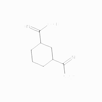 N=C(C(=O)O)C1CCCC(C(=N)C(=O)O)C1